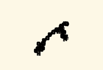 O=C1CCC(N2C(=O)c3ccc(OCCOCCOCCOCC4CCC(n5c(NC(=O)c6cccc(C(F)(F)F)c6)nc6cc(CN7CCCCC7)ccc65)CC4)cc3C2=O)C(=O)N1